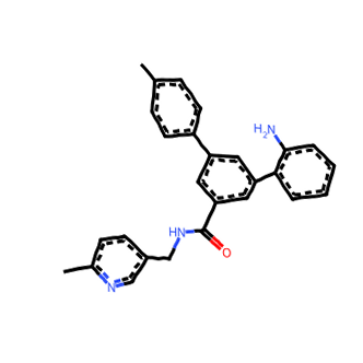 Cc1ccc(-c2cc(C(=O)NCc3ccc(C)nc3)cc(-c3ccccc3N)c2)cc1